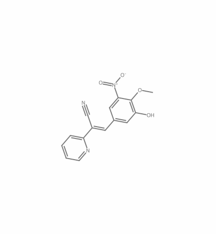 COc1c(O)cc(/C=C(\C#N)c2ccccn2)cc1[N+](=O)[O-]